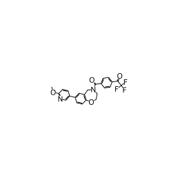 COc1ccc(-c2ccc3c(c2)CN(C(=O)c2ccc(C(=O)C(F)(F)F)cc2)CCO3)cn1